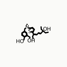 CC/C(=C/C=C/C(O)(CC)CC)c1ccc(N(C)Cc2ccc(CO)c(CO)c2)s1